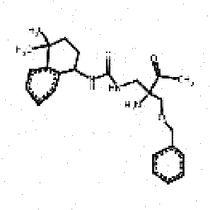 CC(=O)[C@@](N)(CNC(=O)NC1CCC(C)(C)c2ccccc21)COCc1ccccc1